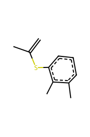 C=C(C)Sc1cccc(C)c1C